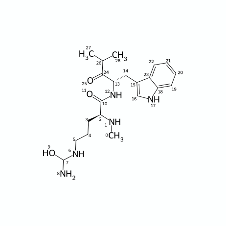 CN[C@@H](CCCNC(N)O)C(=O)N[C@@H](Cc1c[nH]c2ccccc12)C(=O)C(C)C